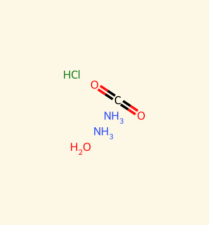 Cl.N.N.O.O=C=O